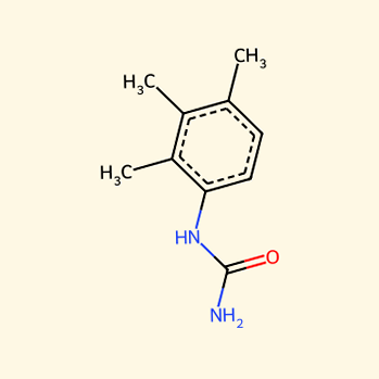 Cc1ccc(NC(N)=O)c(C)c1C